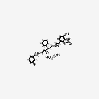 O=C(CCNCCc1cccc(F)c1)N(CCNCCc1ccc(O)c2[nH]c(=O)sc12)C1CCCCC1.O=S(=O)(O)O